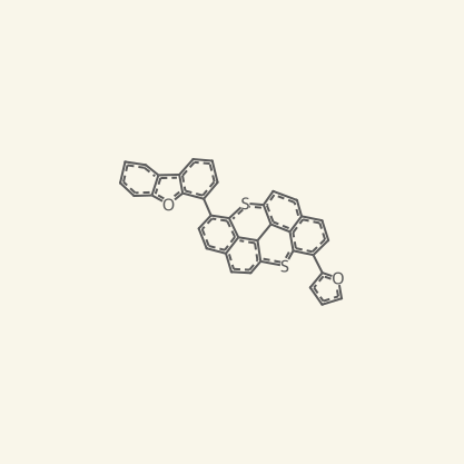 c1coc(-c2ccc3ccc4sc5c(-c6cccc7c6oc6ccccc67)ccc6ccc7sc2c3c4-c7c65)c1